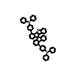 c1ccc(N(c2ccccc2)c2ccc(-c3cccc4c3-c3ccccc3C43c4cccc(-c5ccc(N(c6ccccc6)c6ccccc6)cc5)c4-c4sc5ccccc5c43)cc2)cc1